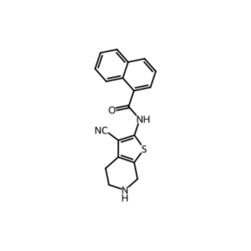 N#Cc1c(NC(=O)c2cccc3ccccc23)sc2c1CCNC2